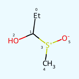 CCC(O)[S+](C)[O-]